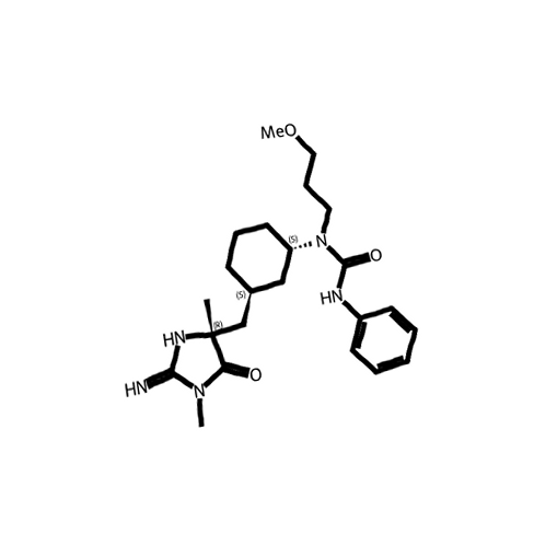 COCCCN(C(=O)Nc1ccccc1)[C@H]1CCC[C@H](C[C@@]2(C)NC(=N)N(C)C2=O)C1